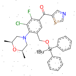 C[C@@H]1CN(c2c(CO[Si](c3ccccc3)(c3ccccc3)C(C)(C)C)cc(C(=O)c3cncs3)c(F)c2Cl)C[C@H](C)O1